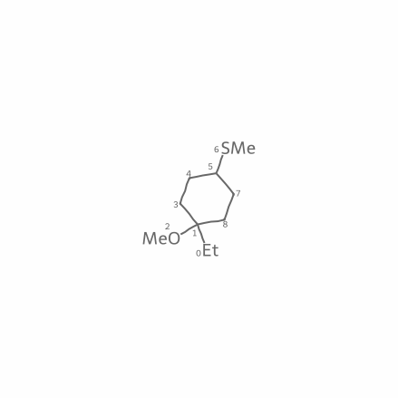 CCC1(OC)CCC(SC)CC1